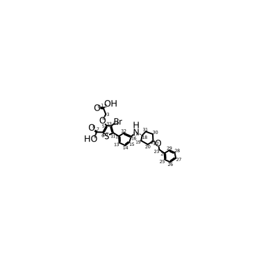 O=C(O)COc1c(C(=O)O)sc(-c2cccc(N[C@H]3CC[C@@H](OCc4ccccc4)CC3)c2)c1Br